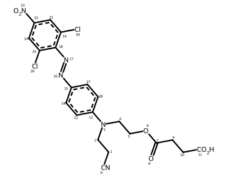 N#CCCN(CCOC(=O)CCC(=O)O)c1ccc(/N=N/c2c(Cl)cc([N+](=O)[O-])cc2Cl)cc1